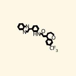 O=C(/C=C1\CCCOc2cc(C(F)(F)F)ccc21)Nc1cccc(-c2cnc3ccccc3n2)c1